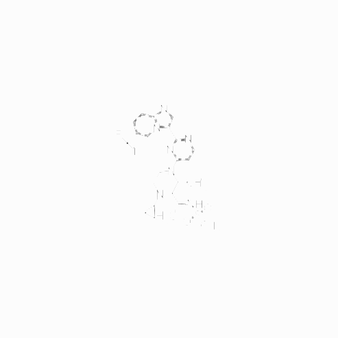 C[C@@H]1[C@H]([C@@H](C)NS(C)(=O)=O)N(C2CC2)CCN1c1ccnc(-c2cnc3ccc(C(F)(F)F)cn23)n1